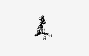 CCCn1cc(OCCC(O)CO)c(C(=O)Nc2ccc(Oc3ccnc4cc(OC)c(OC)cc34)cn2)n1